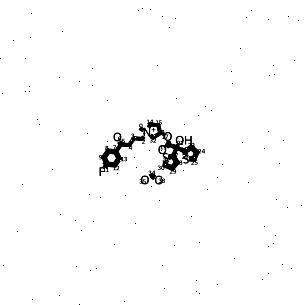 C[N+]1(CCCC(=O)c2ccc(F)cc2)CC[C@@H](OC(=O)C(O)(c2cccs2)c2cccs2)C1.O=C[O-]